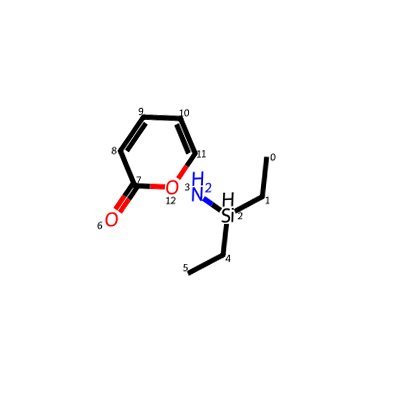 CC[SiH](N)CC.O=c1cccco1